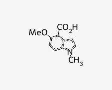 COc1ccc2c(ccn2C)c1C(=O)O